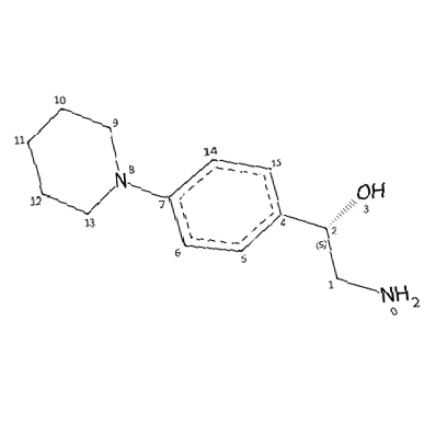 NC[C@@H](O)c1ccc(N2CCCCC2)cc1